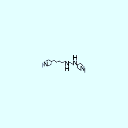 IN1CCC(CCCCCNCCNC2CCN(I)CC2)CC1